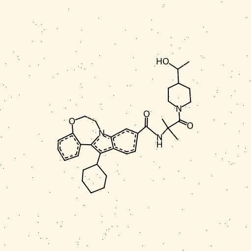 CC(O)C1CCN(C(=O)C(C)(C)NC(=O)c2ccc3c(C4CCCCC4)c4n(c3c2)CCOc2ccccc2-4)CC1